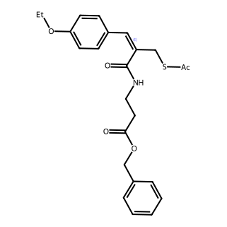 CCOc1ccc(/C=C(/CSC(C)=O)C(=O)NCCC(=O)OCc2ccccc2)cc1